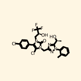 Cc1ccccc1-n1nc(Cn2c(Cl)c(-c3ccc(Cl)cc3)n(C[C@H](O)C(F)(F)F)c2=O)nc1[C@H](C)O